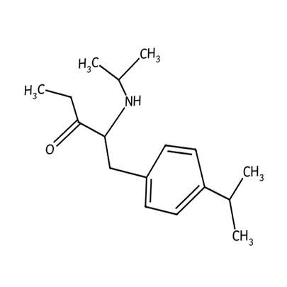 CCC(=O)C(Cc1ccc(C(C)C)cc1)NC(C)C